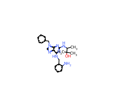 CC(Nc1nc(NCc2ccccc2N)c2ncn(Cc3ccccc3)c2n1)C(C)(C)O